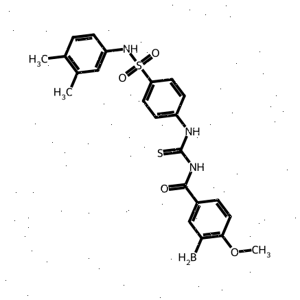 Bc1cc(C(=O)NC(=S)Nc2ccc(S(=O)(=O)Nc3ccc(C)c(C)c3)cc2)ccc1OC